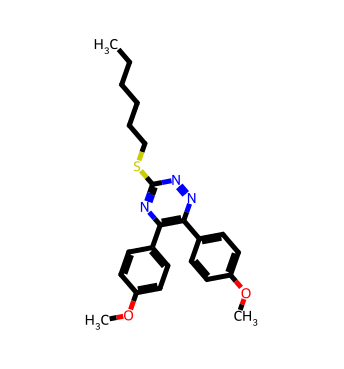 CCCCCCSc1nnc(-c2ccc(OC)cc2)c(-c2ccc(OC)cc2)n1